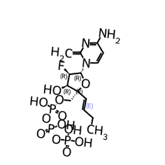 C=C1N=C(N)C=CN1[C@@H]1O[C@](/C=C/CC)(COP(=O)(O)OP(=O)(O)OP(=O)(O)O)[C@@H](O)[C@H]1F